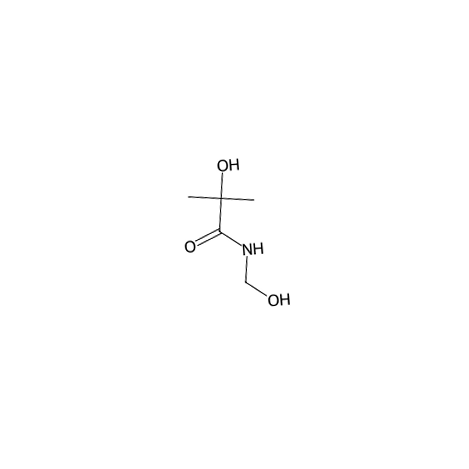 CC(C)(O)C(=O)NCO